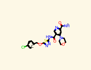 CNC(=O)c1cc(N2CCOCC2)c(C(=O)Nc2nnc(OCc3ccc(Cl)cc3)s2)cn1